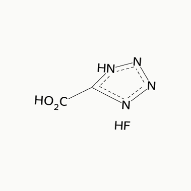 F.O=C(O)c1nnn[nH]1